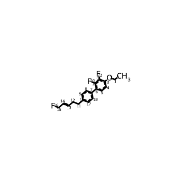 CCOc1ccc(-c2ccc(CCC=CCF)cc2)c(F)c1F